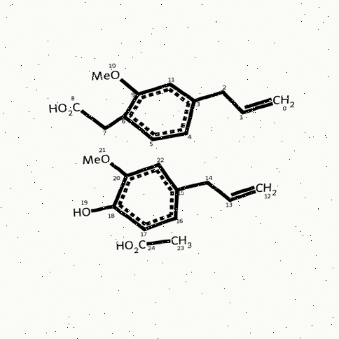 C=CCc1ccc(CC(=O)O)c(OC)c1.C=CCc1ccc(O)c(OC)c1.CC(=O)O